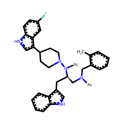 CC(=O)N(Cc1ccccc1C)C[C@@H](Cc1c[nH]c2ccccc12)N(C(C)=O)N1CCC(c2c[nH]c3ccc(F)cc23)CC1